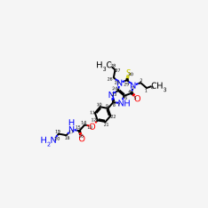 CCCn1c(=O)c2[nH]c(-c3ccc(OCC(=O)NCCN)cc3)nc2n(CCC)c1=S